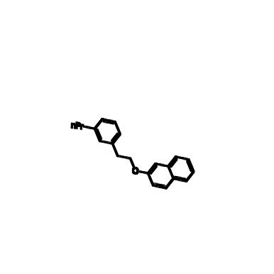 CCCc1cccc(CCOc2ccc3ccccc3c2)c1